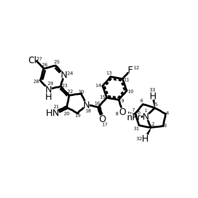 CCCN1[C@@H]2CC[C@H]1C[C@@H](Oc1cc(F)ccc1C(=O)N1CC(=N)/C(=C3/N=CC(Cl)=CN3)C1)C2